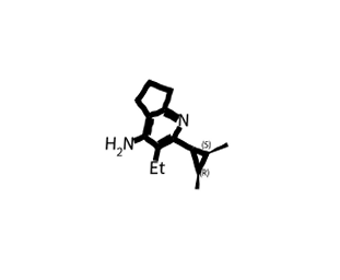 CCc1c(C2[C@@H](C)[C@H]2C)nc2c(c1N)CCC2